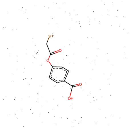 O=C(CS)Oc1ccc(C(=O)O)cc1